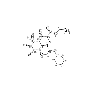 CCOC(=O)C1CN2C3C(OC[C@@H]2CC2CCCCC2)C(F)C(F)C(N)C3C1=O